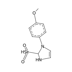 COc1ccc(N2C=CNC2[SeH](=O)=O)cc1